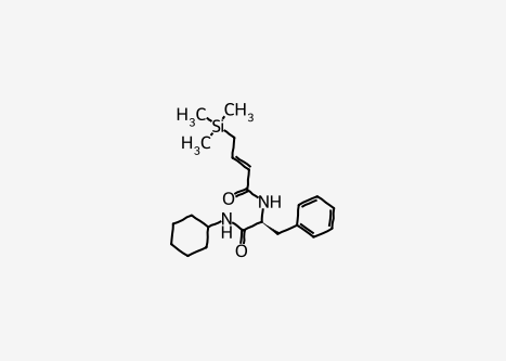 C[Si](C)(C)C/C=C/C(=O)N[C@@H](Cc1ccccc1)C(=O)NC1CCCCC1